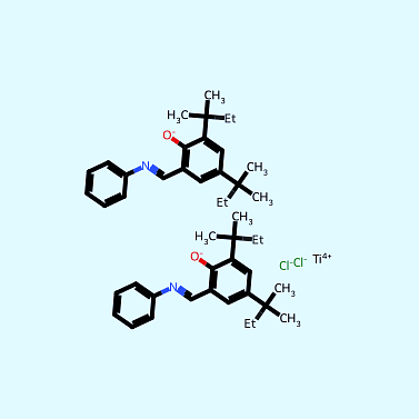 CCC(C)(C)c1cc(C=Nc2ccccc2)c([O-])c(C(C)(C)CC)c1.CCC(C)(C)c1cc(C=Nc2ccccc2)c([O-])c(C(C)(C)CC)c1.[Cl-].[Cl-].[Ti+4]